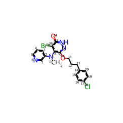 CN(c1cccnc1)c1c(OCCCc2ccc(Cl)cc2)n[nH]c(=O)c1Br